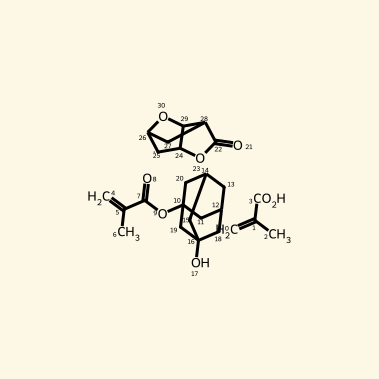 C=C(C)C(=O)O.C=C(C)C(=O)OC12CC3CC(CC(O)(C3)C1)C2.O=C1OC2[CH]C3CC1C2O3